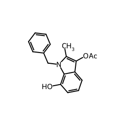 CC(=O)Oc1c(C)n(Cc2ccccc2)c2c(O)cccc12